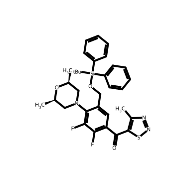 Cc1nnsc1C(=O)c1cc(CO[Si](c2ccccc2)(c2ccccc2)C(C)(C)C)c(N2C[C@@H](C)O[C@@H](C)C2)c(F)c1F